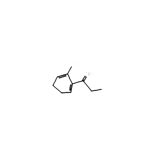 CCC(=N)C1=CCCC=C1S